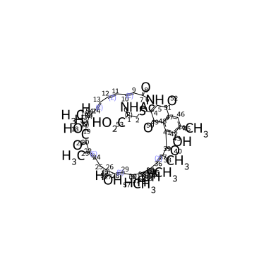 CC(=O)N[C@@H](CSC1=C2NC(=O)/C=C/C=C\C=C\[C@H](C)[C@@H](O)CC(=O)/C(C)=C/C[C@H](O)/C=C/[C@H](C)[C@H](O)[C@@H](C)/C=C(/C)C(=O)c3c(O)c(C)cc(c3C1=O)C2=O)C(=O)O